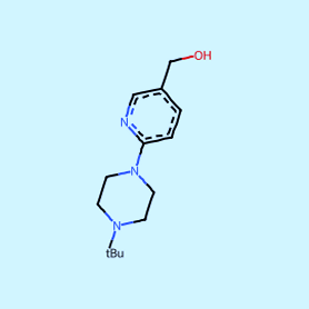 CC(C)(C)N1CCN(c2ccc(CO)cn2)CC1